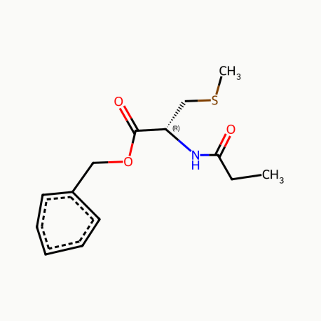 CCC(=O)N[C@@H](CSC)C(=O)OCc1ccccc1